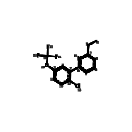 CCc1cccc(-c2cc(OC(F)(F)F)ccc2Cl)n1